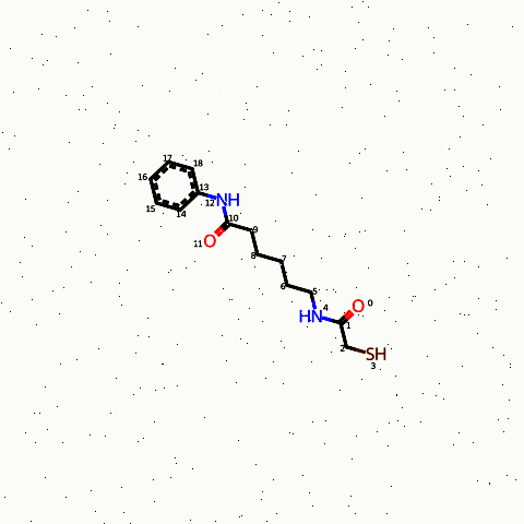 O=C(CS)NCCCCCC(=O)Nc1ccccc1